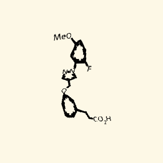 COc1ccc(F)c(-n2cc(COc3cccc(CCC(=O)O)c3)cn2)c1